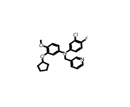 COc1ccc(N(Cc2cccnc2)c2ccc(F)c(Cl)c2)cc1OC1CCCC1